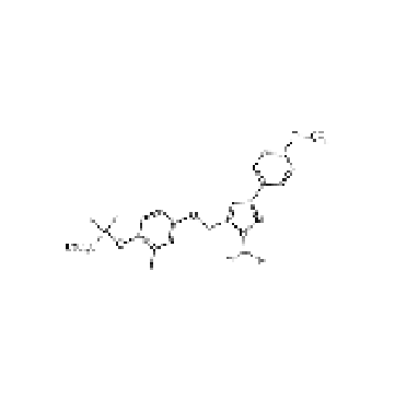 CCOC(=O)C(C)(C)Oc1ccc(OCc2cc(-c3ccc(OC(F)(F)F)cc3)nn2C(F)F)cc1C